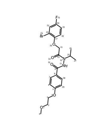 COCCOc1ccc(C(=O)NN(C(=O)COc2ccc(F)cc2Br)C(C)C)cc1